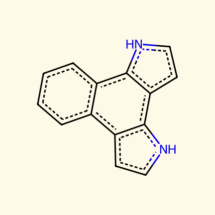 c1ccc2c(c1)c1cc[nH]c1c1cc[nH]c21